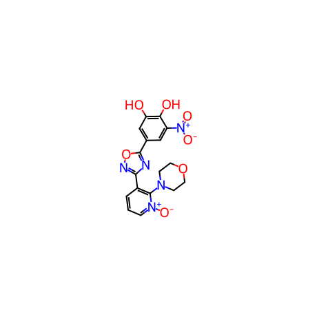 O=[N+]([O-])c1cc(-c2nc(-c3ccc[n+]([O-])c3N3CCOCC3)no2)cc(O)c1O